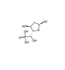 O=P(O)(O)C(O)[C@H]1O[C@H](O)C[C@@H]1O